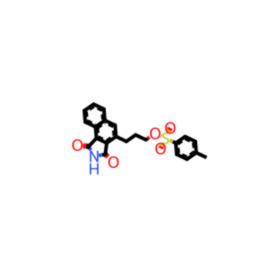 Cc1ccc(S(=O)(=O)OCCCc2cc3ccccc3c3c2C(=O)NC3=O)cc1